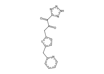 O=C(Cc1ccc(Cc2ccccn2)s1)C(=O)c1nn[nH]n1